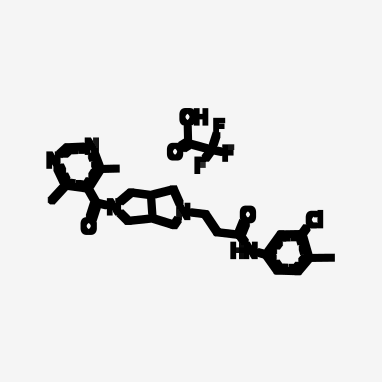 Cc1ccc(NC(=O)CCN2CC3CN(C(=O)c4c(C)ncnc4C)CC3C2)cc1Cl.O=C(O)C(F)(F)F